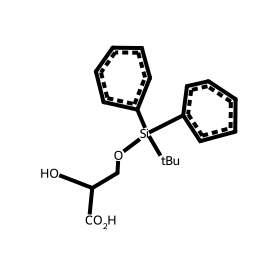 CC(C)(C)[Si](OCC(O)C(=O)O)(c1ccccc1)c1ccccc1